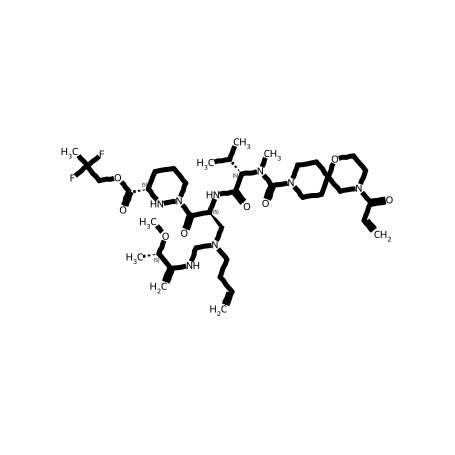 C=CCCN(CNC(=C)[C@H](C)OC)C[C@H](NC(=O)[C@H](C(C)C)N(C)C(=O)N1CCC2(CC1)CN(C(=O)C=C)CCO2)C(=O)N1CCC[C@@H](C(=O)OCC(C)(F)F)N1